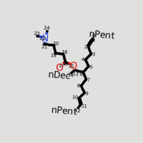 CCCCCC=CCCCC(CCCC=CCCCCC)C(CCCCCCCCCC)OC(=O)CCCCN(C)C